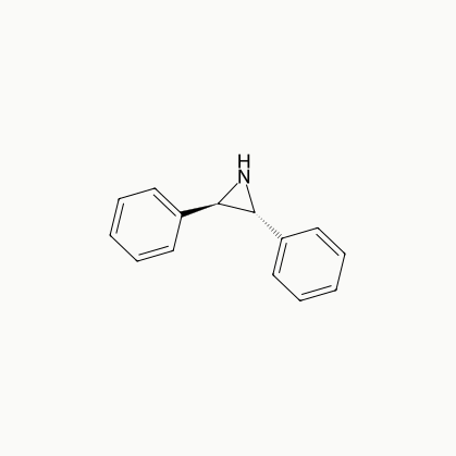 c1ccc([C@H]2N[C@@H]2c2ccccc2)cc1